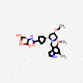 CCO[C@@H]1CCN(Cc2c(OC)cc(C)c3[nH]ccc23)[C@H](c2ccc(C(=O)N[C@@H](CC(=O)O)C(=O)O)cc2)C1